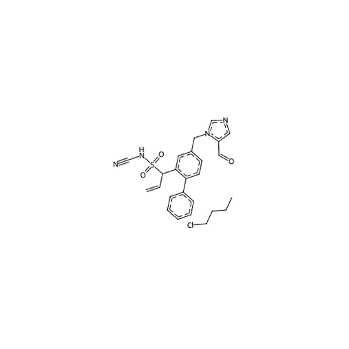 C=CC(c1cc(Cn2cncc2C=O)ccc1-c1ccccc1)S(=O)(=O)NC#N.CCCCCl